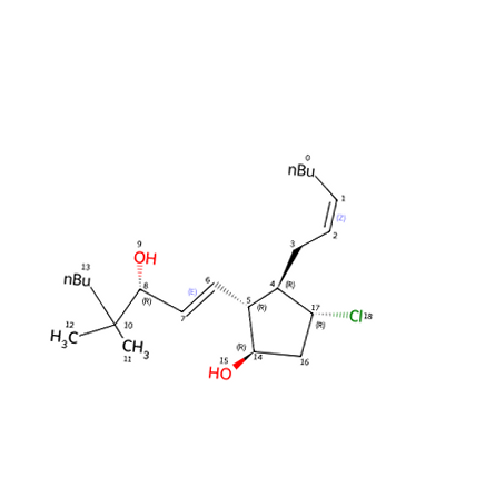 CCCC/C=C\C[C@@H]1[C@@H](/C=C/[C@@H](O)C(C)(C)CCCC)[C@H](O)C[C@H]1Cl